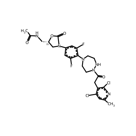 CC(=O)NC[C@H]1CN(c2cc(F)c(N3CCNN(C(=O)Cc4c(Cl)cc(C)nc4Cl)CC3)c(F)c2)C(=O)O1